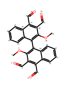 COc1c(C=O)c(C=O)c2ccccc2c1-c1c(OC)c(C=O)c(C=O)c2ccccc12